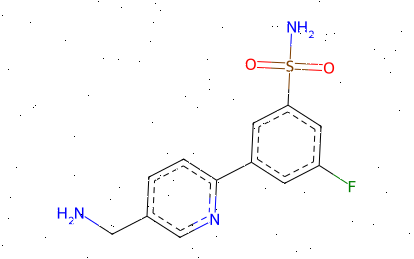 NCc1ccc(-c2cc(F)cc(S(N)(=O)=O)c2)nc1